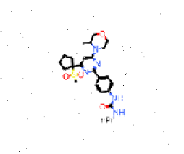 CCCNC(=O)Nc1ccc(-c2nc(N3CCOC[C@@H]3C)cc(C3(S(C)(=O)=O)CCCC3)n2)cc1